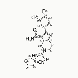 N#CC1(NC(=O)N2CCn3nc(-c4ccc(F)c(Cl)c4)c(C(N)=O)c3C2)CCOC1